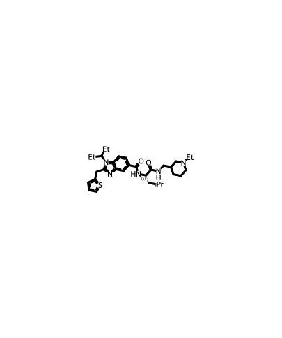 CCC(CC)n1c(Cc2cccs2)nc2cc(C(=O)N[C@@H](CC(C)C)C(=O)NCC3CCCN(CC)C3)ccc21